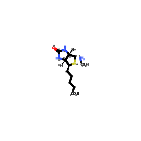 NC(=O)O.O=C(O)CCCC[C@@H]1SC[C@@H]2NC(=O)N[C@@H]21